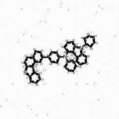 c1ccc(N(c2ccc(-c3ccc4ccc5sc6ccccc6c5c4c3)cc2)c2cccc3c2c2ccccc2n3-c2ccccc2)cc1